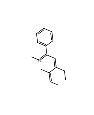 C\C=C(C)/C(=C\C(=N\C)c1ccccc1)CC